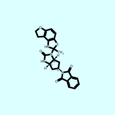 CC1(N2C(=O)N[C@H]3C[C@H](N4C(=O)c5ccccc5C4=O)C[C@H]32)Nc2c(ccc3c2CCO3)S1